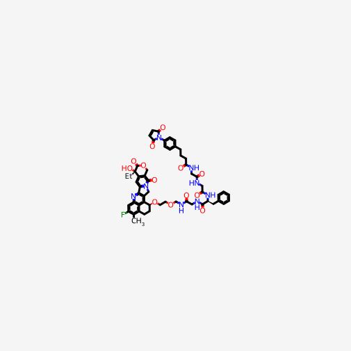 CC[C@@]1(O)C(=O)OCc2c1cc1n(c2=O)Cc2c-1nc1cc(F)c(C)c3c1c2[C@@H](OCCOCNC(=O)CNC(=O)[C@H](Cc1ccccc1)NC(=O)CNC(=O)CNC(=O)CCCc1ccc(N2C(=O)C=CC2=O)cc1)CC3